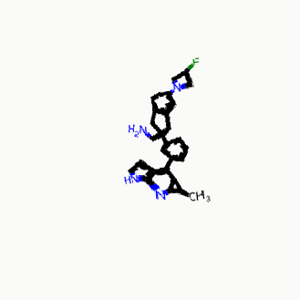 CC1C2N=c3[nH]ccc3=C(c3cccc(C4(CN)Cc5ccc(N6CC(F)C6)cc5C4)c3)C12